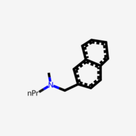 CCCN(C)Cc1ccc2ccccc2c1